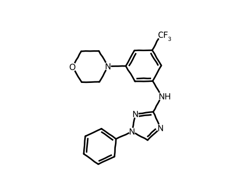 FC(F)(F)c1cc(Nc2ncn(-c3ccccc3)n2)cc(N2CCOCC2)c1